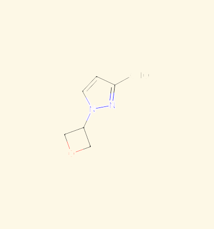 O=Cc1ccn(C2COC2)n1